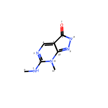 CNC1=NC=C2C(=O)[N]N=C2N1C